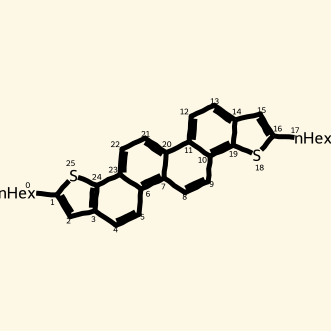 CCCCCCc1cc2ccc3c4ccc5c(ccc6cc(CCCCCC)sc65)c4ccc3c2s1